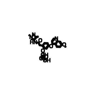 COc1ccc2c(Oc3ccc(CC(=O)Nc4cn(C)nc4C)c(OC)c3)ccnc2c1.O=S(=O)(O)O